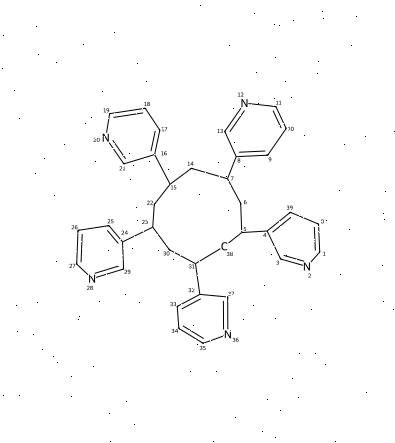 c1cncc(C2CC(c3cccnc3)CC(c3cccnc3)CC(c3cccnc3)CC(c3cccnc3)C2)c1